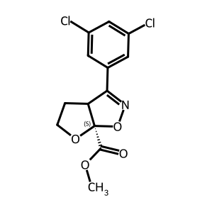 COC(=O)[C@]12OCCC1C(c1cc(Cl)cc(Cl)c1)=NO2